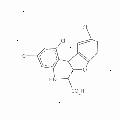 O=C(O)C1Nc2cc(Cl)cc(Cl)c2C2C3=C(CCC(Cl)=C3)OC12